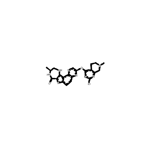 CC1CNc2c(sc3ccc4nc(Oc5nc(Cl)nc6c5CCN(C)C6)cnc4c23)C(=O)N1